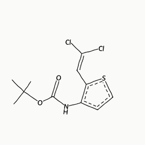 CC(C)(C)OC(=O)Nc1ccsc1C=C(Cl)Cl